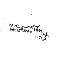 CO[Si](CCCSCC(C)NCOC(C)(C)S(=O)(=O)O)(OC)OC